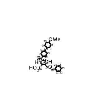 COc1ccc(-c2ccc(S(=O)(=O)NC(C(=O)O)C(O)COCc3ccccc3)cc2)cc1